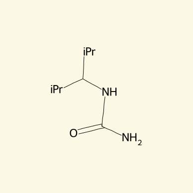 CC(C)C(NC(N)=O)C(C)C